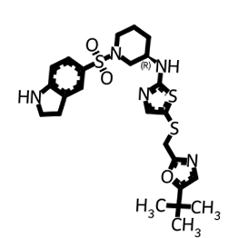 CC(C)(C)c1cnc(CSc2cnc(N[C@@H]3CCCN(S(=O)(=O)c4ccc5c(c4)CCN5)C3)s2)o1